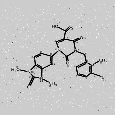 Cc1c(Cl)cccc1Cn1c(=O)c(C(=O)O)cn(-c2ccc3c(c2)n(C)c(=O)n3C)c1=O